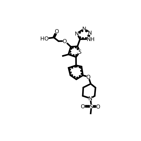 Cc1c(-c2cccc(OC3CCN(S(C)(=O)=O)CC3)c2)sc(-c2nnn[nH]2)c1OCC(=O)O